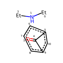 CCNCC.O=C1c2cccc1c2